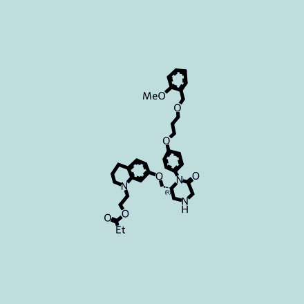 CCC(=O)OCCN1CCCc2ccc(OC[C@H]3CNCC(=O)N3c3ccc(OCCCOCc4ccccc4OC)cc3)cc21